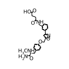 CN[C@@H](Cc1ccc(OCc2cc(-c3cccc(CNC(=O)CCC(=O)O)c3)no2)cc1)C(N)=O